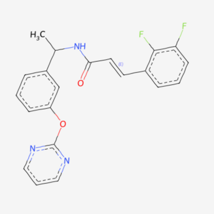 CC(NC(=O)/C=C/c1cccc(F)c1F)c1cccc(Oc2ncccn2)c1